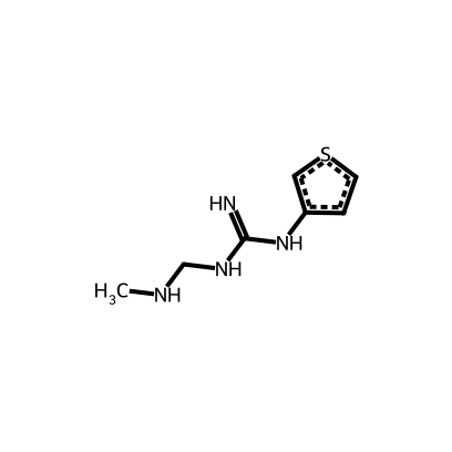 CNCNC(=N)Nc1ccsc1